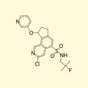 CC(C)(F)CNS(=O)(=O)c1cc2c(c3cnc(Cl)cc13)C(Oc1cccnc1)CC2